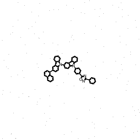 c1ccc(-c2noc(-c3ccc(-n4c5ccccc5c5cc(-n6c7ccccc7c7cc(-c8cccc9ccccc89)ccc76)ccc54)cc3)n2)cc1